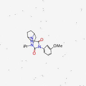 COc1cccc(N2C(=O)N(C(C)C)C3(CC4CCC(C3)N4)C2=O)c1